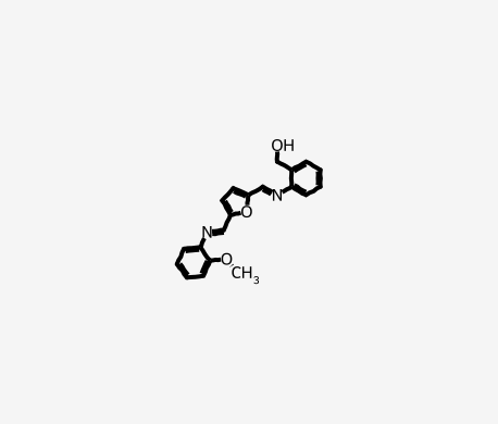 COc1ccccc1N=Cc1ccc(C=Nc2ccccc2CO)o1